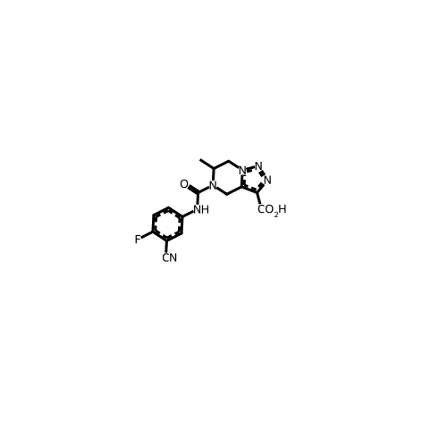 CC1Cn2nnc(C(=O)O)c2CN1C(=O)Nc1ccc(F)c(C#N)c1